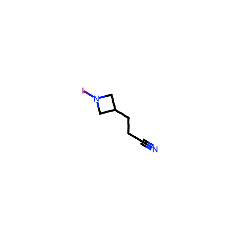 N#CCCC1CN(I)C1